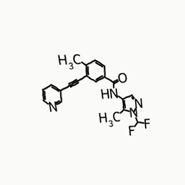 Cc1ccc(C(=O)Nc2cnn(C(F)F)c2C)cc1C#Cc1cccnc1